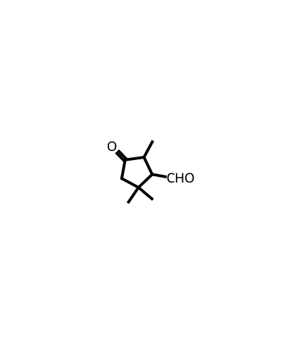 CC1C(=O)CC(C)(C)C1C=O